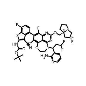 CC(C)(C)OC(=O)Nc1sc2c(F)ccc(-c3c(Cl)c4c5c(nc(OC[C@@]67CCCN6C[C@H](F)C7)nc5c3F)N(C(CC(F)F)c3cccnc3N)CCO4)c2c1C#N